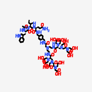 CCC(C)[C@H](NC(=O)[C@H](Cc1c[nH]c2ccccc12)NC(C)=O)C(=O)N[C@@H](CCC(N)=O)C(=O)NCc1ccc(CNC(=O)CN(CCNC(=O)[C@@H](CN(CCN(CC(=O)O)CC(=O)O)CC(=O)O)N(CC(=O)O)CC(=O)O)CCNC(=O)[C@@H](CN(CCN(CC(=O)O)CC(=O)O)CC(=O)O)N(CC(=O)O)CC(=O)O)cc1